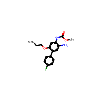 COCCOc1cc(NC(=O)OC(C)(C)C)c(N)cc1-c1ccc(F)cc1